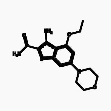 CCOc1cc(N2CCOCC2)cc2sc(C(N)=O)c(N)c12